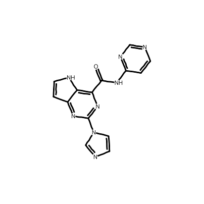 O=C(Nc1ccncn1)c1nc(-n2ccnc2)nc2cc[nH]c12